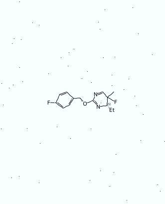 CC[C@@H]1N=C(OCc2ccc(F)cc2)N=CC1(C)F